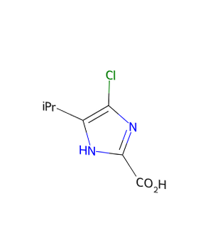 CC(C)c1[nH]c(C(=O)O)nc1Cl